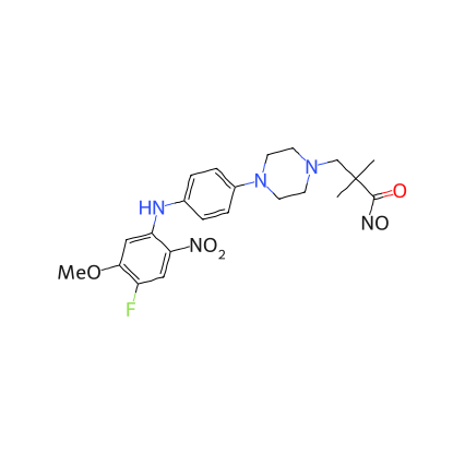 COc1cc(Nc2ccc(N3CCN(CC(C)(C)C(=O)N=O)CC3)cc2)c([N+](=O)[O-])cc1F